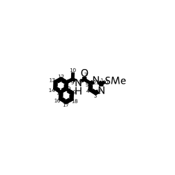 CSc1nccc(C(=O)NC(C)c2cccc3ccccc23)n1